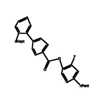 CCCCCCCc1ccccc1-c1ccc(C(=O)Oc2ccc(CCCCC)cc2F)cc1